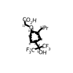 CC(C)c1cc(C(O)(C(F)(F)F)C(F)(F)F)ccc1OCC(=O)O